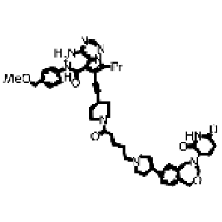 COCc1ccc(NC(=O)c2c(C#CC3CCN(C(=O)CCCCN4CCC(c5ccc6c(c5)CN(C5CCC(=O)NC5=O)COC6)CC4)CC3)c(C(C)C)n3ncnc(N)c23)cc1